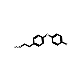 CNCCc1ccc(Oc2ccc(F)cc2)cc1